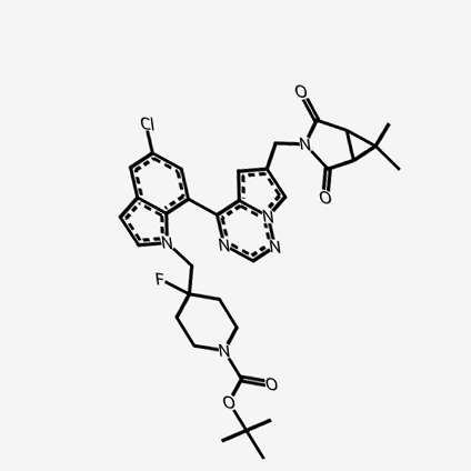 CC(C)(C)OC(=O)N1CCC(F)(Cn2ccc3cc(Cl)cc(-c4ncnn5cc(CN6C(=O)C7C(C6=O)C7(C)C)cc45)c32)CC1